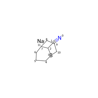 N#CC1B2CCCC1CCC2.[Na]